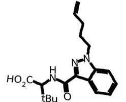 C=CCCCn1nc(C(=O)NC(C(=O)O)C(C)(C)C)c2ccccc21